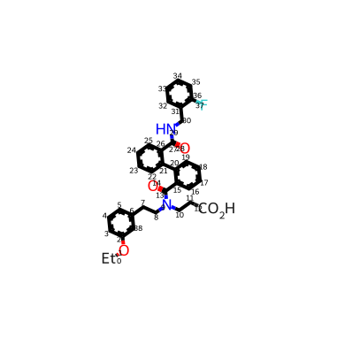 CCOc1cccc(CCN(CCC(=O)O)C(=O)c2ccccc2-c2ccccc2C(=O)NCc2ccccc2F)c1